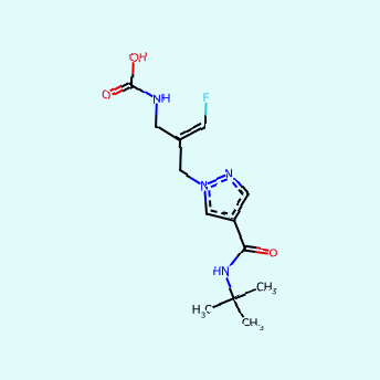 CC(C)(C)NC(=O)c1cnn(CC(=CF)CNC(=O)O)c1